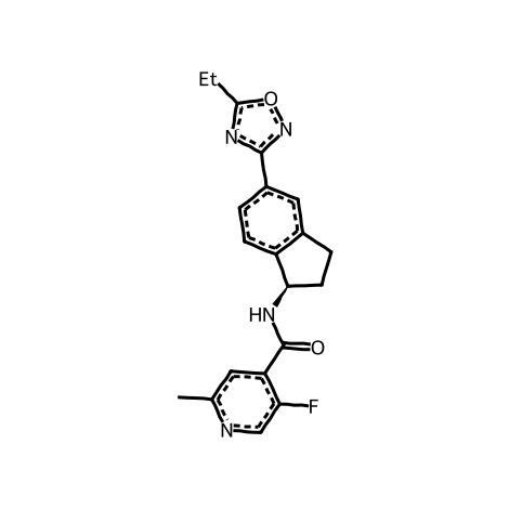 CCc1nc(-c2ccc3c(c2)CC[C@H]3NC(=O)c2cc(C)ncc2F)no1